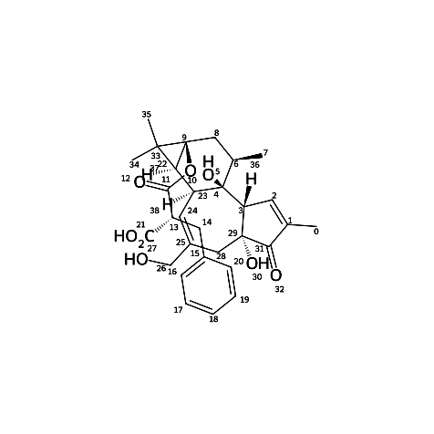 CC1=C[C@H]2[C@@]3(O)[C@H](C)C[C@]4(OC(=O)[C@H](Cc5ccccc5)C(=O)O)[C@@H]([C@@H]3C=C(CO)C[C@]2(O)C1=O)C4(C)C